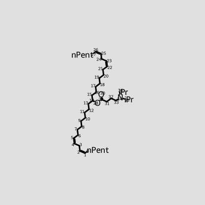 CCCCC/C=C\C/C=C\CCCCCCCCC(CCCCCCC/C=C\C/C=C\CCCCC)OC(=O)CCCN(C(C)C)C(C)C